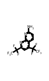 Nc1ccc2c(C(F)(F)C(F)(F)F)cc(C(F)(F)C(F)(F)F)nc2n1